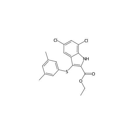 CCOC(=O)c1[nH]c2c(Cl)cc(Cl)cc2c1Sc1cc(C)cc(C)c1